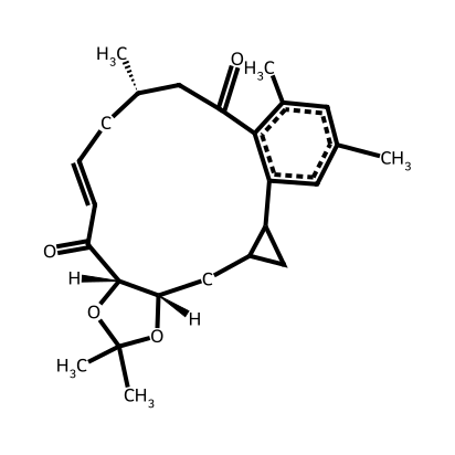 Cc1cc(C)c2c(c1)C1CC1C[C@@H]1OC(C)(C)O[C@@H]1C(=O)/C=C/C[C@H](C)CC2=O